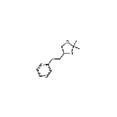 CC1(C)OCC(CCc2ccccc2)O1